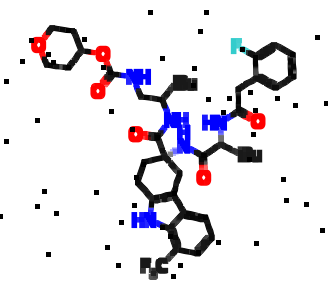 CCC(C)C(CNC(=O)OC1CCOCC1)NC(=O)[C@]1(NC(=O)C(NC(=O)Cc2ccccc2F)C(C)CC)CCc2[nH]c3c(C(F)(F)F)cccc3c2C1